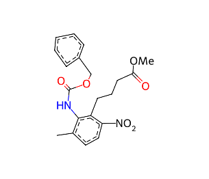 COC(=O)CCCc1c([N+](=O)[O-])ccc(C)c1NC(=O)OCc1ccccc1